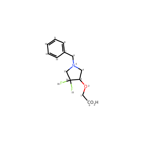 O=C(O)COC1CN(Cc2ccccc2)CC1(F)F